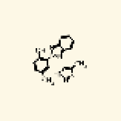 Cc1c[nH]nn1.Cc1ccc(O)c(-n2nc3ccccc3n2)c1